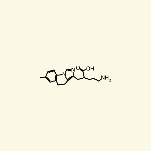 Cc1ccc2c(c1)CCc1c(CC(CCCN)C(=O)O)ncn1-2